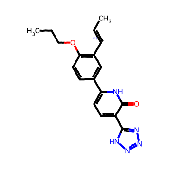 C/C=C/c1cc(-c2ccc(-c3nnn[nH]3)c(=O)[nH]2)ccc1OCCC